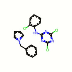 Clc1nc(Cl)nc(Nc2ccccc2Cl)n1.c1ccc(Cn2cccc2)cc1